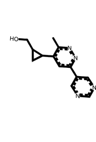 Cc1nnc(-c2cncnc2)cc1C1CC1CO